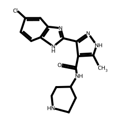 Cc1[nH]nc(-c2nc3cc(Cl)ccc3[nH]2)c1C(=O)NC1CCNCC1